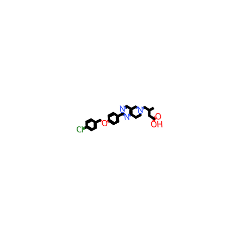 CC(CC(=O)O)CN1CCc2nc(-c3ccc(OCc4ccc(Cl)cc4)cc3)ncc2C1